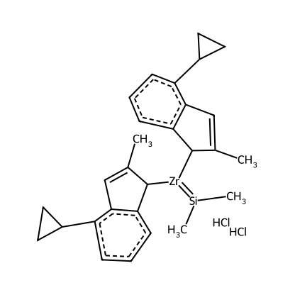 CC1=Cc2c(C3CC3)cccc2[CH]1[Zr]([CH]1C(C)=Cc2c(C3CC3)cccc21)=[Si](C)C.Cl.Cl